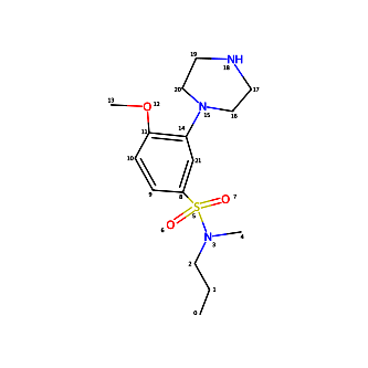 CCCN(C)S(=O)(=O)c1ccc(OC)c(N2CCNCC2)c1